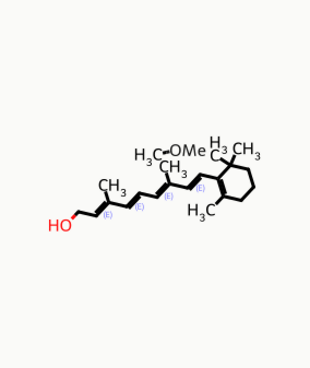 CC1=C(/C=C/C(C)=C/C=C/C(C)=C/CO)C(C)(C)CCC1.COC